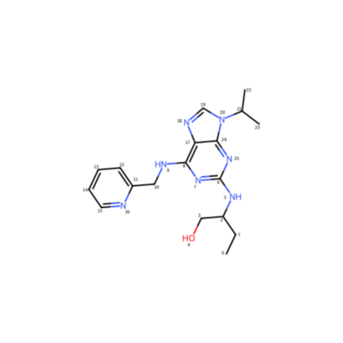 CCC(CO)Nc1nc(NCc2ccccn2)c2ncn(C(C)C)c2n1